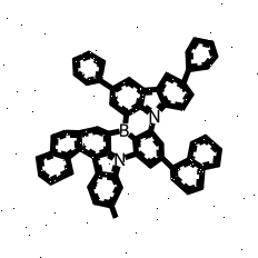 Cc1ccc2c3c4c(ccc5ccccc54)cc4c3n(c2c1)-c1cc(-c2cccc3ccccc23)cc2c1B4c1cc(-c3ccccc3)cc3c4cc(-c5ccccc5)ccc4n-2c13